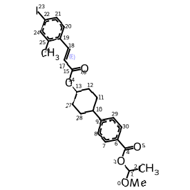 COC(C)OC(=O)c1ccc(C2CCC(OC(=O)/C=C/c3ccc(I)cc3C)CC2)cc1